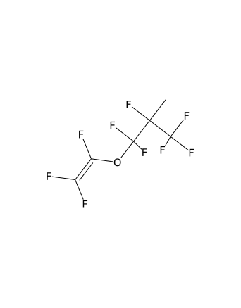 CC(F)(C(F)(F)F)C(F)(F)OC(F)=C(F)F